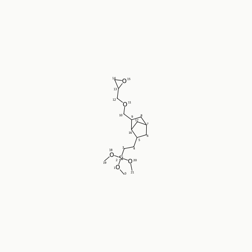 CO[Si](CCC1CC2CC(COCC3CO3)C1C2)(OC)OC